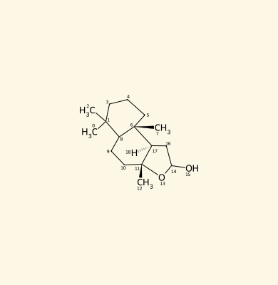 CC1(C)CCC[C@@]2(C)C1CC[C@@]1(C)OC(O)C[C@@H]12